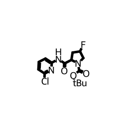 CC(C)(C)OC(=O)N1CC(F)CC1C(=O)Nc1cccc(Cl)n1